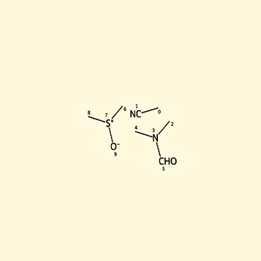 CC#N.CN(C)C=O.C[S+](C)[O-]